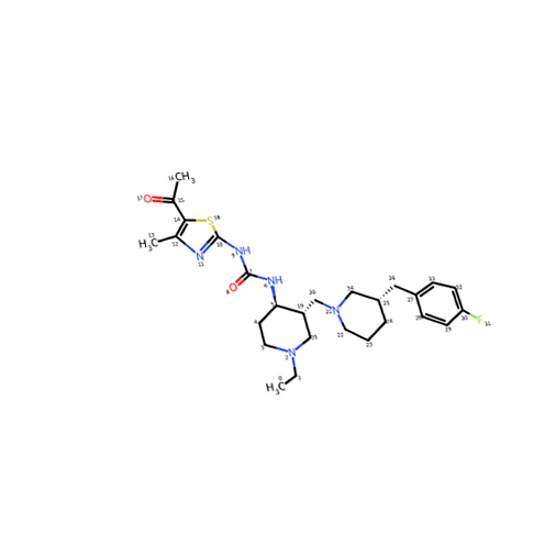 CCN1CC[C@@H](NC(=O)Nc2nc(C)c(C(C)=O)s2)[C@H](CN2CCC[C@@H](Cc3ccc(F)cc3)C2)C1